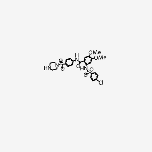 COc1cc(NS(=O)(=O)c2ccc(Cl)cc2)c(C(=O)Nc2ccc(S(=O)(=O)N3CCNCC3)cc2)cc1OC